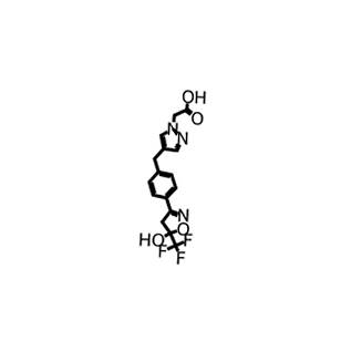 O=C(O)Cn1cc(Cc2ccc(C3=NOC(O)(C(F)(F)F)C3)cc2)cn1